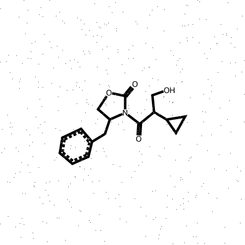 O=C1OCC(Cc2ccccc2)N1C(=O)C(CO)C1CC1